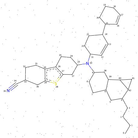 CCCCC1CC2CCC(N(C3C=CC(C4C=CCCC4)CC3)C3CCc4c(sc5c4CCC(C#N)C5)C3)CC2C2CC12